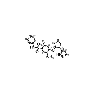 Cc1cc(S(=O)(=O)Nc2ccncn2)c(F)cc1OC1CCCC1c1ccn[nH]1